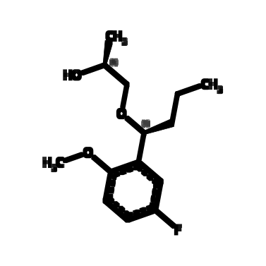 CCC[C@H](OC[C@H](C)O)c1cc(F)ccc1OC